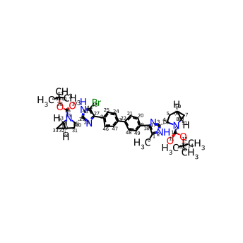 Cc1[nH]c([C@@H]2C[C@H]3C[C@H]3N2C(=O)OC(C)(C)C)nc1-c1ccc(-c2ccc(-c3nc([C@@H]4C[C@H]5C[C@H]5N4C(=O)OC(C)(C)C)[nH]c3Br)cc2)cc1